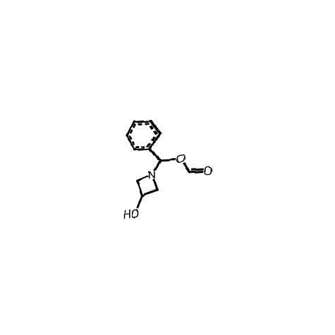 O=COC(c1ccccc1)N1CC(O)C1